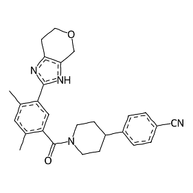 Cc1cc(C)c(-c2nc3c([nH]2)COCC3)cc1C(=O)N1CCC(c2ccc(C#N)cc2)CC1